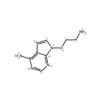 NCCOn1cnc2c(N)ncnc21